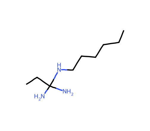 CCCCCCNC(N)(N)CC